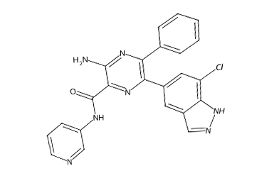 Nc1nc(-c2ccccc2)c(-c2cc(Cl)c3[nH]ncc3c2)nc1C(=O)Nc1cccnc1